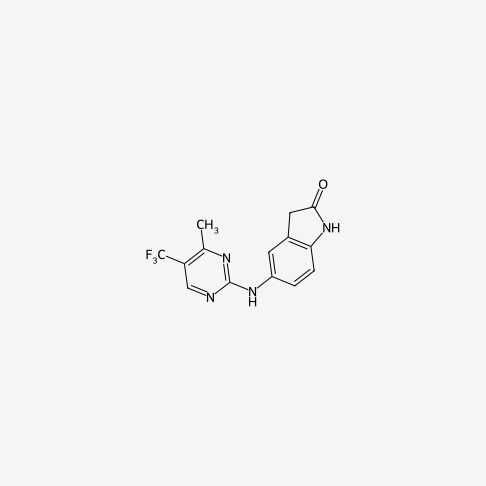 Cc1nc(Nc2ccc3c(c2)CC(=O)N3)ncc1C(F)(F)F